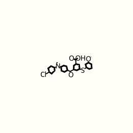 COc1cccc(Sc2cc(C(=O)O)cc(C(=O)c3ccc(N(C)c4ccc(Cl)cc4)cc3)c2)c1